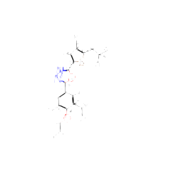 CCCOc1c(C)cc(-c2nnc(-c3cc(C)c(CC(C)C)s3)o2)cc1CC